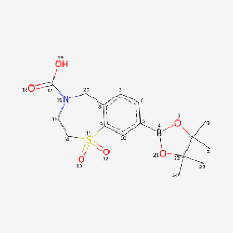 CC1(C)OB(c2ccc3c(c2)S(=O)(=O)CCN(C(=O)O)C3)OC1(C)C